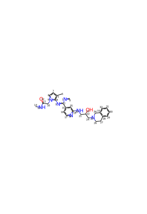 C=N/C(=N\c1c(C)ccn1CC(=O)NC)c1ccnc(NCC(O)CN2CCc3ccccc3C2)c1